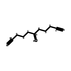 C#CCCCC(=O)CCCC#C